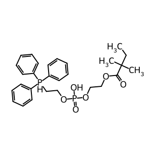 CCC(C)(C)C(=O)OCCOP(=O)(O)OCC[PH](c1ccccc1)(c1ccccc1)c1ccccc1